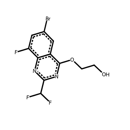 OCCOc1nc(C(F)F)nc2c(F)cc(Br)cc12